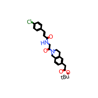 CC(C)(C)OC(=O)Cc1ccc2c(c1)CCN(C(=O)CNC(=O)/C=C/c1ccc(Cl)cc1)C2